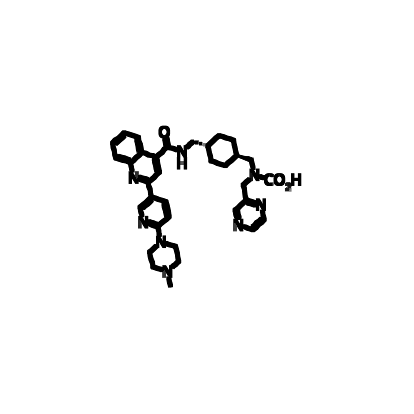 CN1CCN(c2ccc(-c3cc(C(=O)NC[C@H]4CC[C@H](CN(Cc5cnccn5)C(=O)O)CC4)c4ccccc4n3)cn2)CC1